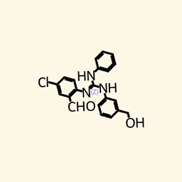 O=Cc1cc(Cl)ccc1/N=C(\NC1=C=C=CC=C1)Nc1cccc(CO)c1